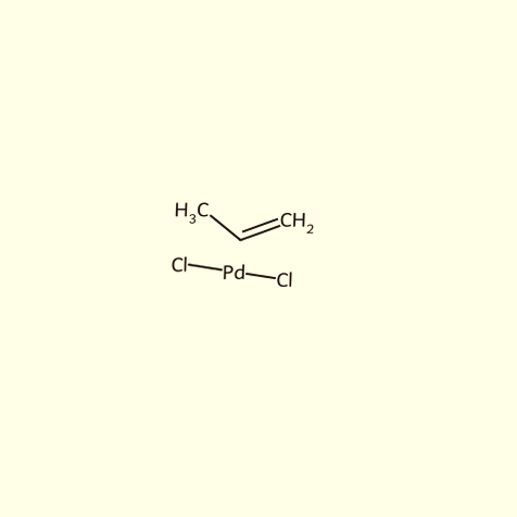 C=CC.[Cl][Pd][Cl]